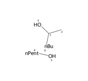 CCCCC(C)O.CCCCCO